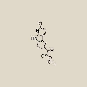 COC(=O)C(=O)c1ccc2[nH]c3nc(Cl)ccc3c2c1